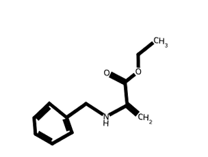 C=C(NCc1ccccc1)C(=O)OCC